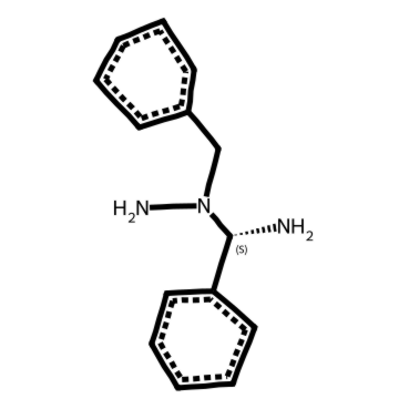 N[C@H](c1ccccc1)N(N)Cc1ccccc1